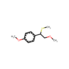 COCC(SC)c1ccc(OC)cc1